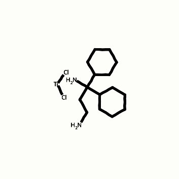 NCCC(N)(C1CCCCC1)C1CCCCC1.[Cl][Ti][Cl]